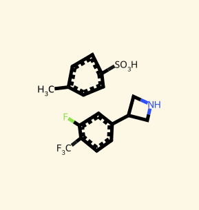 Cc1ccc(S(=O)(=O)O)cc1.Fc1cc(C2CNC2)ccc1C(F)(F)F